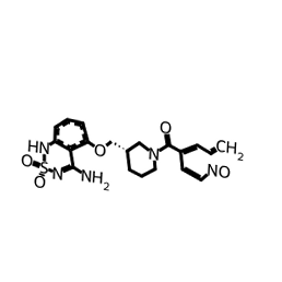 C=C/C=C(\C=C/N=O)C(=O)N1CCC[C@H](COc2cccc3c2C(N)=NS(=O)(=O)N3)C1